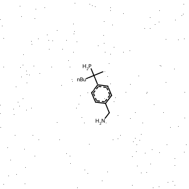 [CH2]C(P)(CCCC)c1ccc(CN)cc1